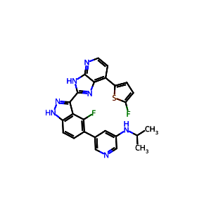 CC(C)Nc1cncc(-c2ccc3[nH]nc(-c4nc5c(-c6ccc(F)s6)ccnc5[nH]4)c3c2F)c1